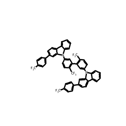 FC(F)(F)c1ccc(-c2ccc3c4ccccc4n(-c4ccc(C(F)(F)F)c(-c5cc(-n6c7ccccc7c7ccc(-c8ccc(C(F)(F)F)cc8)cc76)ccc5C(F)(F)F)c4)c3c2)cc1